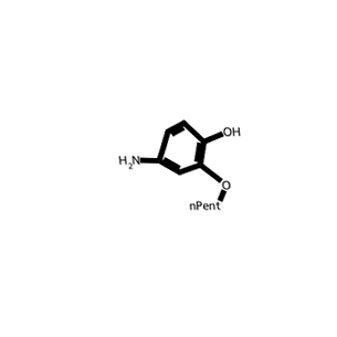 CCCCCOc1cc(N)ccc1O